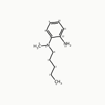 CCCCCN(C)c1ccccc1N